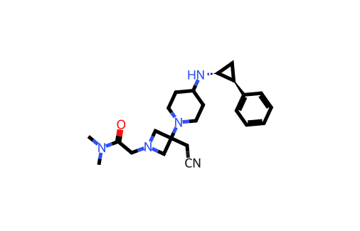 CN(C)C(=O)CN1CC(CC#N)(N2CCC(N[C@@H]3C[C@H]3c3ccccc3)CC2)C1